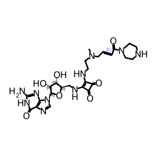 CN(C/C=C/C(=O)N1CCNCC1)CCNc1c(NC[C@H]2O[C@@H](n3cnc4c(=O)[nH]c(N)nc43)[C@H](O)[C@@H]2O)c(=O)c1=O